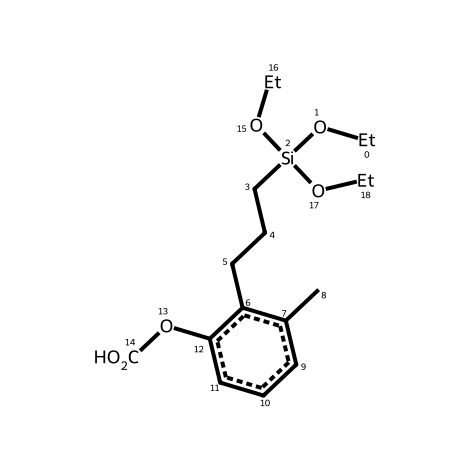 CCO[Si](CCCc1c(C)cccc1OC(=O)O)(OCC)OCC